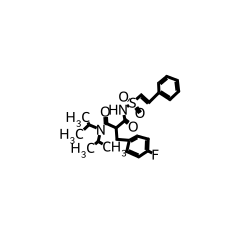 CC(C)N(C(=O)C(Cc1ccc(F)cc1)C(=O)NS(=O)(=O)C=Cc1ccccc1)C(C)C